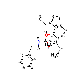 CC[C@@H](C)c1cccc([C@H](C)CC)c1OC(=O)NCCc1ccccc1